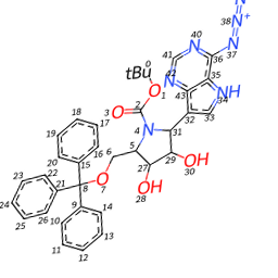 CC(C)(C)OC(=O)N1C(COC(c2ccccc2)(c2ccccc2)c2ccccc2)C(O)C(O)C1c1c[nH]c2c(N=[N+]=[N-])ncnc12